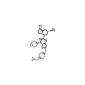 N#Cc1cc(-c2nc(N3CCOCC3)c3sc(CN4CCN(CC5CC5)CC4)cc3n2)c2cc[nH]c2c1